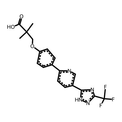 CC(C)(COc1ccc(-c2ccc(-c3nc(C(F)(F)F)n[nH]3)cn2)cc1)C(=O)O